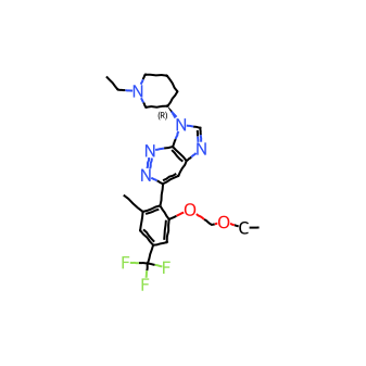 CCOCOc1cc(C(F)(F)F)cc(C)c1-c1cc2ncn([C@@H]3CCCN(CC)C3)c2nn1